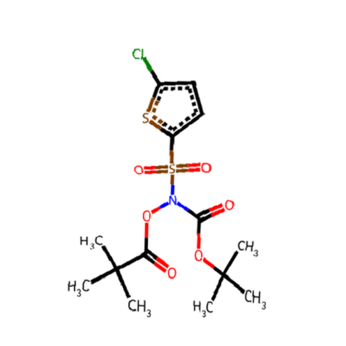 CC(C)(C)OC(=O)N(OC(=O)C(C)(C)C)S(=O)(=O)c1ccc(Cl)s1